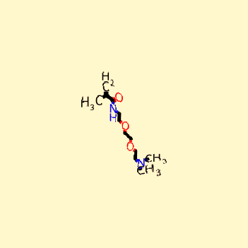 C=C(C)C(=O)NCCOCCOCCN(C)C